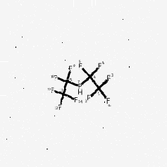 FC(F)(F)C(F)(F)PC(F)(F)C(F)(F)F